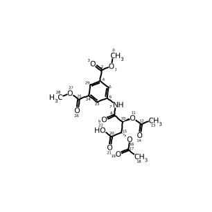 COC(=O)c1cc(NC(=O)[C@@H](OC(C)=O)[C@H](OC(C)=O)C(=O)O)cc(C(=O)OC)c1